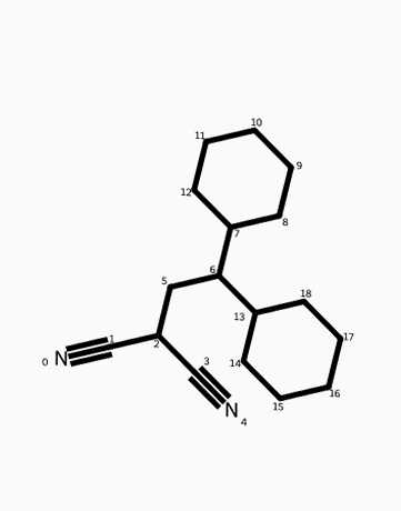 N#CC(C#N)CC(C1CCCCC1)C1CCCCC1